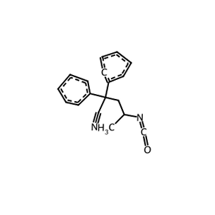 CC(CC(C#N)(c1ccccc1)c1ccccc1)N=C=O